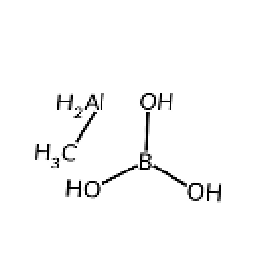 OB(O)O.[CH3][AlH2]